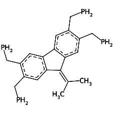 CC(C)=C1c2cc(CP)c(CP)cc2-c2cc(CP)c(CP)cc21